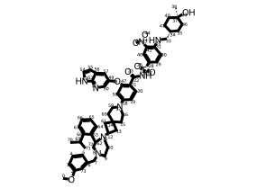 COc1cccc(CN2CCN(C3CC4(CCN(c5ccc(C(=O)NS(=O)(=O)c6ccc(NC[C@H]7CC[C@](C)(O)CC7)c([N+](=O)[O-])c6)c(Oc6cnc7[nH]ccc7c6)c5)CC4)C3)C(c3ccccc3C(C)C)C2)c1